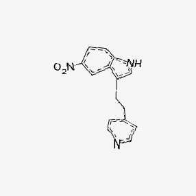 O=[N+]([O-])c1ccc2[nH]cc(CCc3ccncc3)c2c1